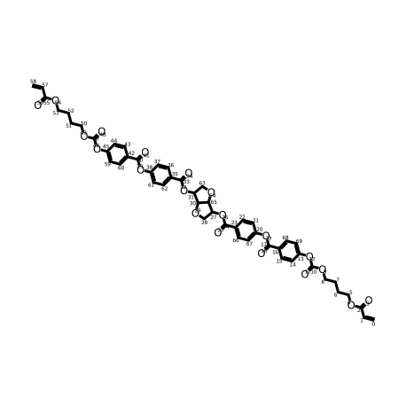 C=CC(=O)OCCCCOC(=O)Oc1ccc(C(=O)Oc2ccc(C(=O)OC3COC4C(OC(=O)c5ccc(OC(=O)c6ccc(OC(=O)OCCCCOC(=O)C=C)cc6)cc5)COC34)cc2)cc1